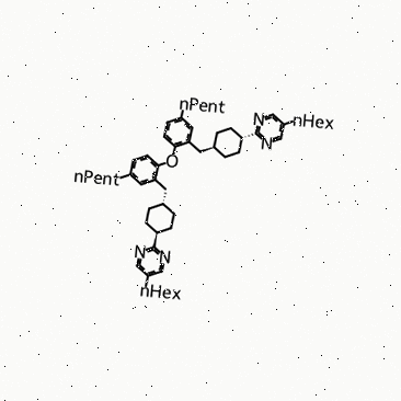 CCCCCCc1cnc([C@H]2CC[C@H](Cc3cc(CCCCC)ccc3Oc3ccc(CCCCC)cc3C[C@H]3CC[C@H](c4ncc(CCCCCC)cn4)CC3)CC2)nc1